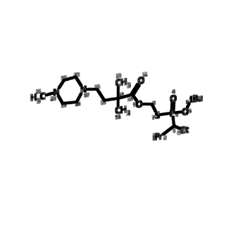 CCC(C(C)C)P(=O)(OC(C)(C)C)SCOC(=O)C(C)(C)CCN1CCN(C)CC1